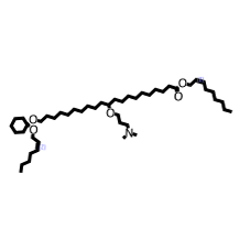 CCCC/C=C\COC1(OCCCCCCCCCCC(CCCCCCCCCC(=O)OC/C=C\CCCCCC)OCCCN(C)C)CCCCC1